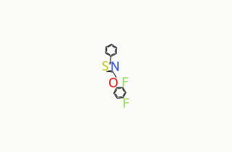 Fc1ccc(OCc2csc(-c3ccccc3)n2)c(F)c1